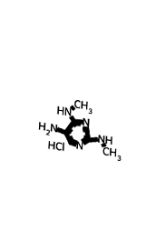 CNc1ncc(N)c(NC)n1.Cl